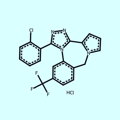 Cl.FC(F)(F)c1ccc2c(c1)-n1c(-c3ccccc3Cl)nnc1-c1cccn1C2